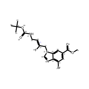 COC(=O)c1cc(Br)c2ncn(C/C(F)=C/CNC(=O)OC(C)(C)C)c2c1